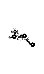 O=C(CCCc1ccccc1)Nc1cccc2cc(C(=O)Nc3ccc(Br)cc3-c3noc(=O)[nH]3)[nH]c12